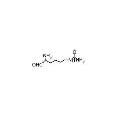 NC(=O)NCCCC[C@H](N)C=O